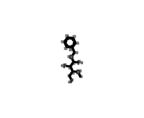 COC(CF)C(F)C(F)OCc1ccccc1